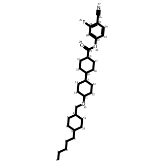 CCCCCC1CCC(COC2CCC(C3CCC(C(=O)Oc4ccc(C#N)c(F)c4)CC3)CC2)CC1